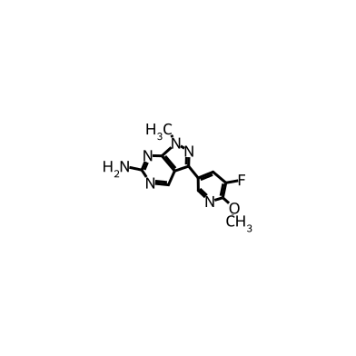 COc1ncc(-c2nn(C)c3nc(N)ncc23)cc1F